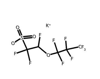 O=S(=O)([O-])C(F)(F)C(F)OC(F)(F)C(F)(F)C(F)(F)F.[K+]